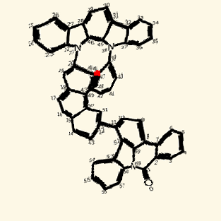 O=c1c2ccccc2c2ccc(-c3ccc4ccc5cc(-n6c7ccccc7c7ccc8c9ccccc9n(-c9ccccc9)c8c76)ccc5c4c3)c3c4ccccc4n1c23